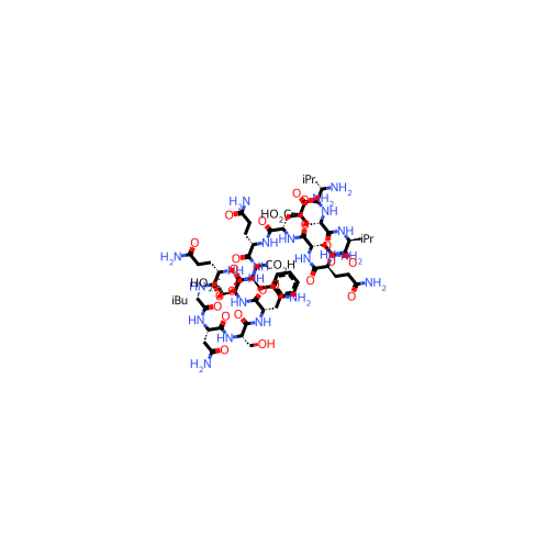 CC[C@H](C)[C@H](NC(=O)[C@H](CCC(N)=O)NC(=O)[C@H](Cc1ccccc1)NC(=O)[C@H](CCC(N)=O)NC(=O)[C@H](CCC(N)=O)NC(=O)[C@H](CC(N)=O)NC(=O)[C@H](CCC(N)=O)NC(=O)[C@@H](NC(=O)[C@H](CCC(=O)O)NC(=O)[C@@H](N)C(C)C)C(C)C)C(=O)N[C@@H](CC(N)=O)C(=O)N[C@@H](CO)C(=O)N[C@@H](CC(N)=O)C(=O)N[C@@H](CC(=O)O)C(=O)NCC(=O)O